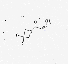 C/C=C\C(=O)N1CC(F)(F)C1